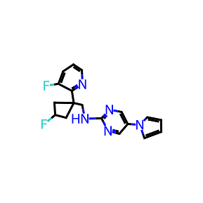 Fc1cccnc1C1(CNc2ncc(-n3cccc3)cn2)CC(F)C1